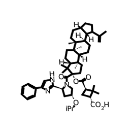 C=C(C)C1CC[C@H]2CC[C@]3(C)[C@H](CC[C@@H]4[C@@]5(C)CC[C@@](OC(=O)[C@@H]6C[C@@H](C(=O)O)C6(C)C)(C(=O)N6C[C@H](OC(C)C)C[C@H]6c6nc(-c7ccccc7)c[nH]6)C(C)(C)[C@@H]5CC[C@]43C)[C@@H]12